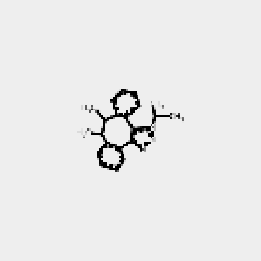 CC1c2ccccc2-c2nnn(C(C)C)c2-c2ccccc2C1C